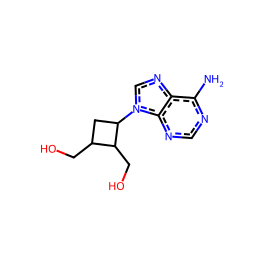 Nc1ncnc2c1ncn2C1CC(CO)C1CO